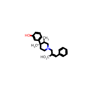 C[C@H]1CN(C/C(=C\c2ccccc2)C(=O)O)CC[C@@]1(C)c1cccc(O)c1